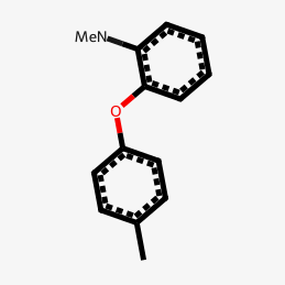 CNc1ccccc1Oc1ccc(C)cc1